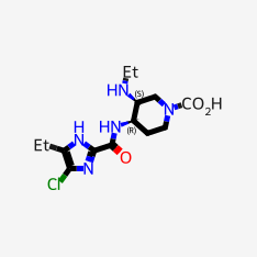 CCN[C@H]1CN(C(=O)O)CC[C@H]1NC(=O)c1nc(Cl)c(CC)[nH]1